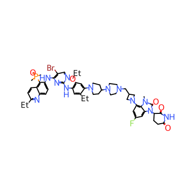 CCOc1cc(N2CCC(N3CCN(CC4CN(c5cc(F)cc6c5n(C)c(=O)n6C5CCC(=O)NC5=O)C4)CC3)CC2)c(CC)cc1Nc1ncc(Br)c(Nc2ccc3nc(CC)ccc3c2P(C)(C)=O)n1